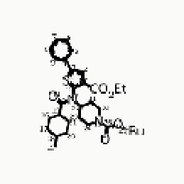 CCOC(=O)c1cc(-c2ccccc2)sc1N(C(=O)C1CCC(C)CC1)C1CCN(C(=O)OC(C)(C)C)CC1